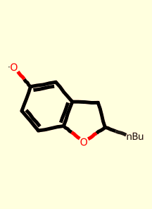 CCCCC1Cc2cc([O])ccc2O1